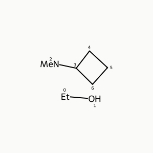 CCO.CNC1CCC1